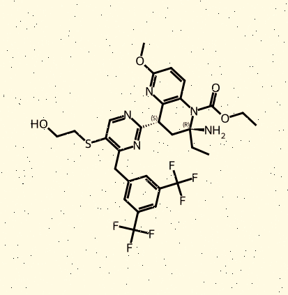 CCOC(=O)N1c2ccc(OC)nc2[C@@H](c2ncc(SCCO)c(Cc3cc(C(F)(F)F)cc(C(F)(F)F)c3)n2)C[C@@]1(N)CC